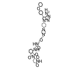 Nc1ncnc2c1c(-c1ccc(Oc3ccccc3)cc1)cn2[C@H]1CC[C@H](N2CCN(CCOCCNC(=O)CNc3cccc4c3C(=O)N(C3CCC(=O)NC3=O)C4=O)CC2)CC1